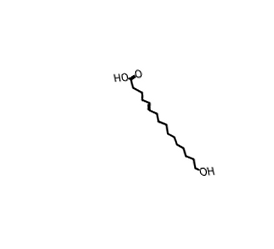 O=C(O)CCCC=CCCCCCCCCCCO